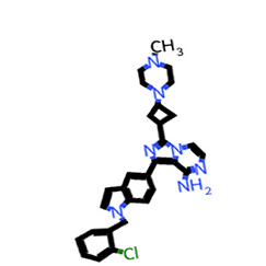 CN1CCN(C2CC(c3nc(-c4ccc5c(ccn5Cc5ccccc5Cl)c4)c4c(N)nccn34)C2)CC1